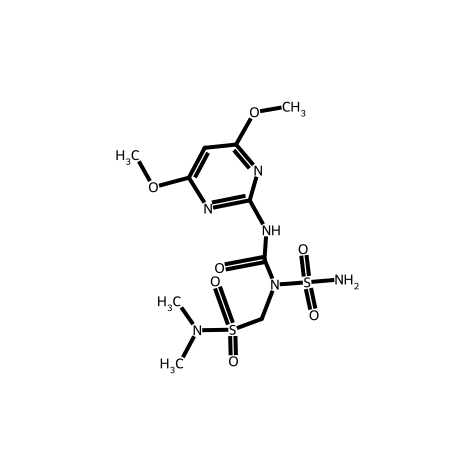 COc1cc(OC)nc(NC(=O)N(CS(=O)(=O)N(C)C)S(N)(=O)=O)n1